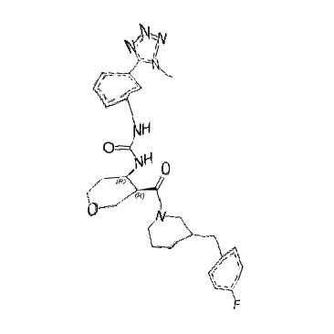 Cn1nnnc1-c1cccc(NC(=O)N[C@@H]2CCOC[C@@H]2C(=O)N2CCCC(Cc3ccc(F)cc3)C2)c1